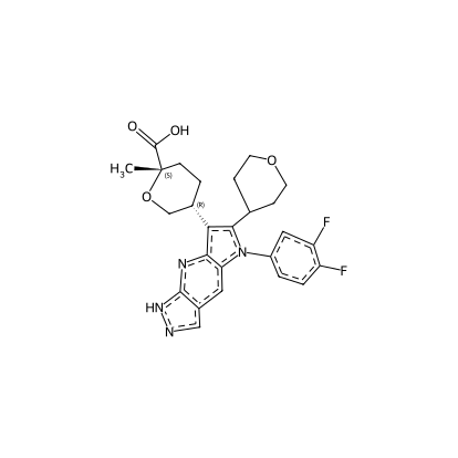 C[C@@]1(C(=O)O)CC[C@H](c2c(C3CCOCC3)n(-c3ccc(F)c(F)c3)c3cc4cn[nH]c4nc23)CO1